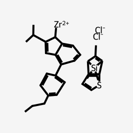 CC1=C2c3sccc3C1[Si]2(C)C.CCCc1ccc(-c2cccc3c2C=C(C(C)C)[CH]3[Zr+2])cc1.[Cl-].[Cl-]